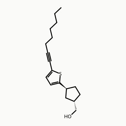 CCCCCCC#Cc1ccc([C@H]2CC[C@H](CO)C2)s1